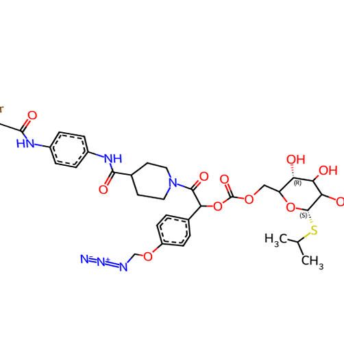 CC(C)S[C@@H]1OC(COC(=O)OC(C(=O)N2CCC(C(=O)Nc3ccc(NC(=O)CBr)cc3)CC2)c2ccc(OCN=[N+]=[N-])cc2)[C@H](O)C(O)C1O